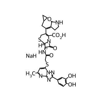 Cc1cc(SCC(=O)N[C@@H]2C(=O)N3C(C(=O)O)=C(C(CC4CC4)=C4CCNC4=O)CS[C@H]23)n2nc(-c3ccc(O)c(O)c3)nc2n1.[NaH]